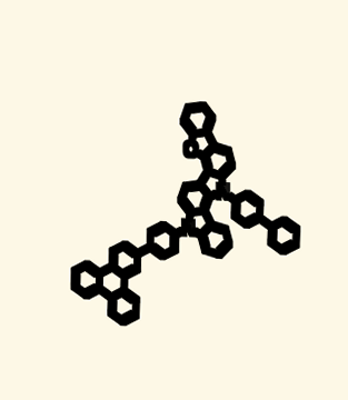 c1ccc(-c2ccc(-n3c4ccc5c6ccccc6oc5c4c4ccc5c(c6ccccc6n5-c5ccc(-c6ccc7c8ccccc8c8ccccc8c7c6)cc5)c43)cc2)cc1